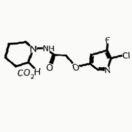 O=C(COc1cnc(Cl)c(F)c1)NN1CCCCC1C(=O)O